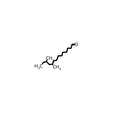 CCC(C)CC(C)CCCCCCCC[C]=O